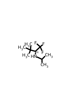 CC(C)N[C@@H](C(C)(C)C)C(F)(F)F